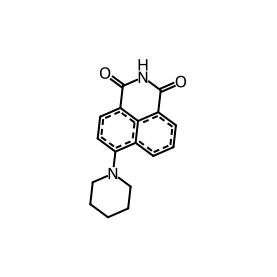 O=C1NC(=O)c2ccc(N3CCCCC3)c3cccc1c23